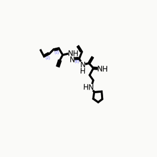 C#CC(/C=C\C=C/C)N/N=C(\C=C)NC(=C)C(=N)CCNC1CCCC1